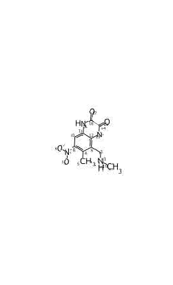 CNCc1c(C)c([N+](=O)[O-])cc2c1[N]C(=O)C(=O)N2